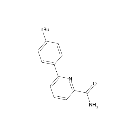 CCCCc1ccc(-c2cccc(C(N)=O)n2)cc1